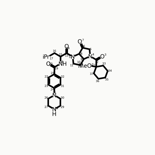 COC1(C(=O)N2CC(=O)C3C2CCN3C(=O)C(CC(C)C)NC(=O)c2ccc(N3CCNCC3)cc2)CCCCC1